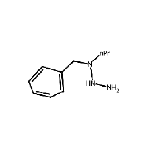 CCCN(Cc1ccccc1)NN